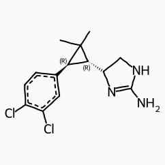 CC1(C)[C@H](c2ccc(Cl)c(Cl)c2)[C@H]1C1CNC(N)=N1